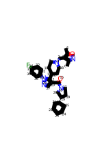 Cc1noc(C)c1CN1CCC(c2c(C(=O)N3CC[C@H](c4ccccc4)C3)cnn2-c2ccc(F)cc2)CC1